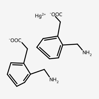 NCc1ccccc1CC(=O)[O-].NCc1ccccc1CC(=O)[O-].[Hg+2]